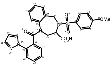 COc1ccc(S(=O)(=O)N2Cc3ccccc3N(C(=O)c3ccccc3-n3cccn3)CC2C(=O)O)cc1